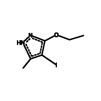 CCOc1n[nH]c(C)c1I